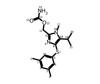 Cc1cc(C)cc(Sc2nc(COC(N)=O)n(C)c2C(C)C)c1